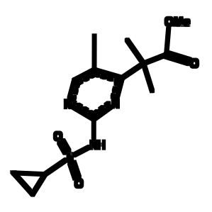 COC(=O)C(C)(C)c1nc(NS(=O)(=O)C2CC2)ncc1C